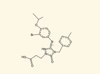 Cc1ccc(Cn2c(=O)n(CCC(=O)O)[nH]/c2=N\c2ccc(OC(C)C)c(Br)c2)cc1